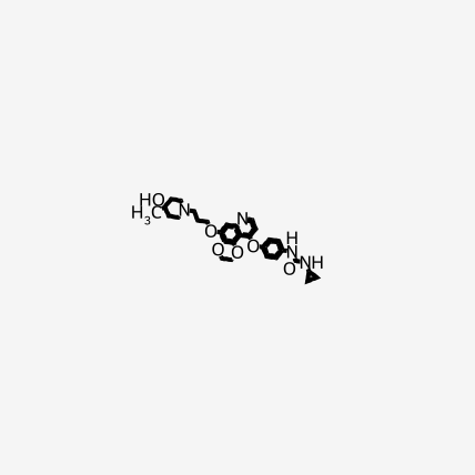 CC1(O)CCN(CCCOc2cc3nccc(Oc4ccc(NC(=O)NC5CC5)cc4)c3c3c2OCCO3)CC1